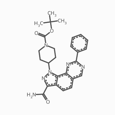 CC(C)(C)OC(=O)N1CCC(n2nc(C(N)=O)c3ccc4cnc(-c5ccccc5)nc4c32)CC1